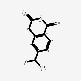 C=C1Cc2cc(C(C)C)ccc2C(=O)N1